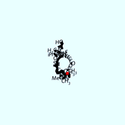 CCn1c(-c2cccnc2[C@H](C)OC)c2c3cc(ccc31)-c1csc(n1)C[C@H](NC(=O)C(C(C)C)N(C)C(=O)N1CC(CO)C1)C(=O)N(NF)CCCCC(=O)OCC(C)(C)C2